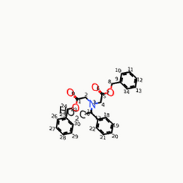 O=C(CN(CC(=O)OCc1ccccc1)C(C(=O)O)c1ccccc1)OCc1ccccc1